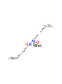 CCCCCCCCCCCCCCCCCCN(CNC(=O)CCCCCCCCCCCCCCCCC)C(=O)CCCCCCCCC